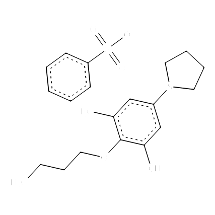 CCCCOc1c(C)cc([S+]2CCCC2)cc1C.O=S(=O)([O-])c1ccccc1